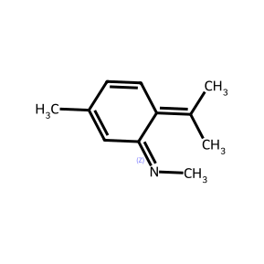 C/N=C1/C=C(C)C=CC1=C(C)C